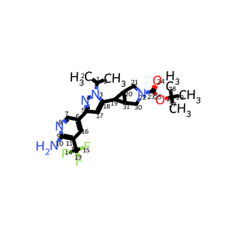 CC(C)n1nc(-c2cnc(N)c(C(F)(F)F)c2)cc1C1C2CN(C(=O)OC(C)(C)C)CC21